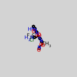 CC1(C(=O)OCCN2CCOCC2)CCN(C2CCN(C(=O)[C@@H](Cc3cc(Cl)c(N)c(C(F)(F)F)c3)OC(=O)N3CCC(N4CCc5ccccc5NC4=O)CC3)CC2)CC1